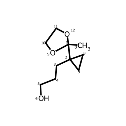 CC1(C2(CCCO)CC2)OCCO1